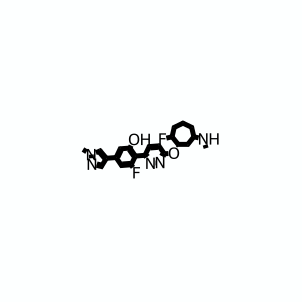 CNC1CCCC(F)[C@@H](Oc2ccc(-c3c(O)cc(-c4cnn(C)c4)cc3F)nn2)C1